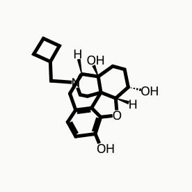 Oc1ccc2c3c1O[C@H]1[C@@H](O)CC[C@@]4(O)[C@@H](C2)N(CC2CCC2)CCC314